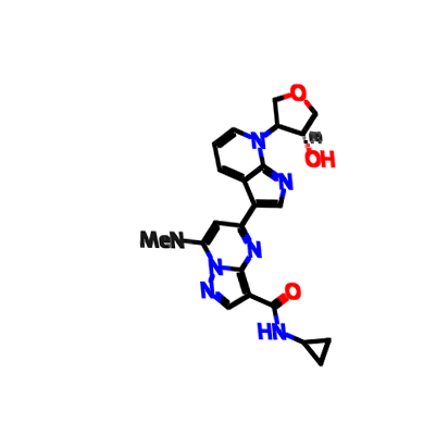 CNc1cc(-c2cnc3n(C4COC[C@@H]4O)cccc2-3)nc2c(C(=O)NC3CC3)cnn12